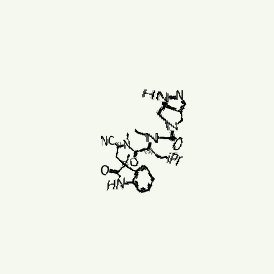 CC(C)C[C@@H](C(=O)N(C)[C@H](C#N)C[C@@]1(C)C(=O)Nc2ccccc21)N(C)C(=O)N1Cc2cn[nH]c2C1